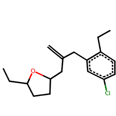 C=C(Cc1cc(Cl)ccc1CC)CC1CCC(CC)O1